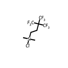 C[Si](C)(Cl)CCC(C(F)(F)F)(C(F)(F)F)C(F)(F)F